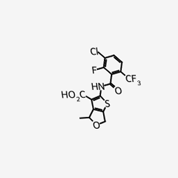 CC1OCc2sc(NC(=O)c3c(C(F)(F)F)ccc(Cl)c3F)c(C(=O)O)c21